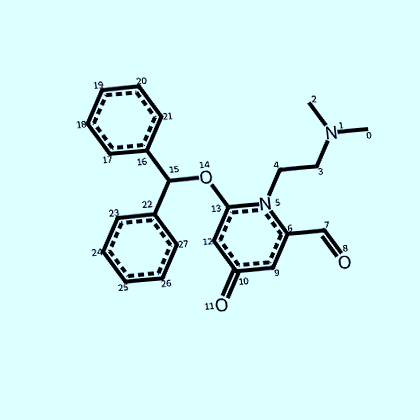 CN(C)CCn1c(C=O)cc(=O)cc1OC(c1ccccc1)c1ccccc1